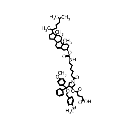 COc1ccc(COC(c2ccccc2)(c2ccc(OC)cc2)C2CN(C(=O)CCCCCNC(=O)OC3CCC4(C)C(=CCC5C4CCC4(C)C(C(C)CCCC(C)C)CCC54)C3)CC2OC(=O)CCC(=O)O)cc1